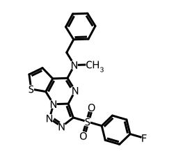 CN(Cc1ccccc1)c1nc2c(S(=O)(=O)c3ccc(F)cc3)nnn2c2sccc12